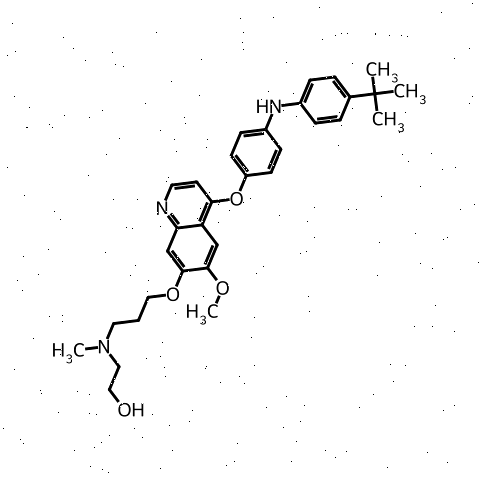 COc1cc2c(Oc3ccc(Nc4ccc(C(C)(C)C)cc4)cc3)ccnc2cc1OCCCN(C)CCO